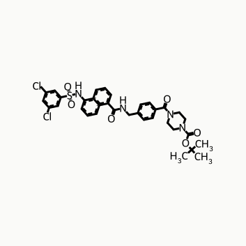 CC(C)(C)OC(=O)N1CCN(C(=O)c2ccc(CNC(=O)c3cccc4c(NS(=O)(=O)c5cc(Cl)cc(Cl)c5)cccc34)cc2)CC1